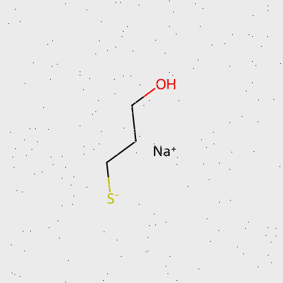 OCCC[S-].[Na+]